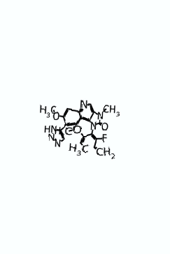 C=C/C(F)=C(\C(=C/C)OC)n1c(=O)n(C)c2cnc3cc(OC)c(-c4cnn[nH]4)cc3c21